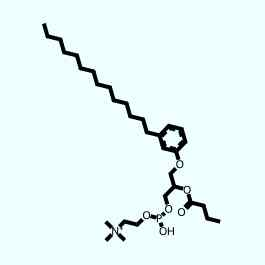 CCCCCCCCCCCCCCc1cccc(OCC(COP(O)OCC[N+](C)(C)C)OC(=O)CCC)c1